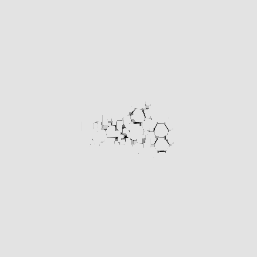 CC(=O)[C@H]1[C@@H](C(=O)O)N([N@+]2(CC(C)(C)C)C(=O)CO[C@H](c3cccc4ccccc34)c3cc(Cl)ccc32)C[C@@H]1O